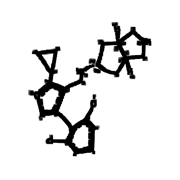 Clc1cccc(Cl)c1-c1noc(C2CC2)c1CN[C@H]1C[C@H]2CNC[C@H]2C1